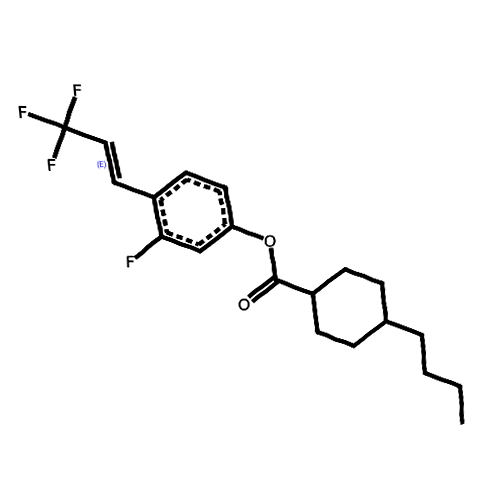 CCCCC1CCC(C(=O)Oc2ccc(/C=C/C(F)(F)F)c(F)c2)CC1